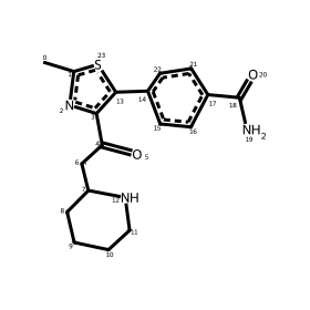 Cc1nc(C(=O)[CH]C2CCCCN2)c(-c2ccc(C(N)=O)cc2)s1